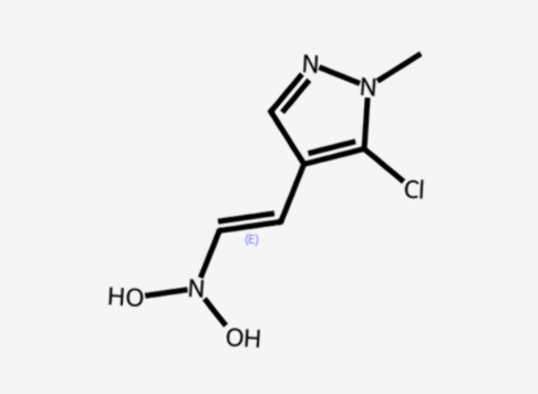 Cn1ncc(/C=C/N(O)O)c1Cl